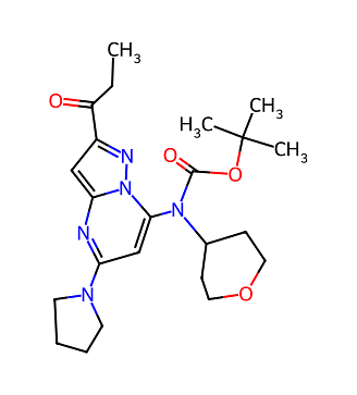 CCC(=O)c1cc2nc(N3CCCC3)cc(N(C(=O)OC(C)(C)C)C3CCOCC3)n2n1